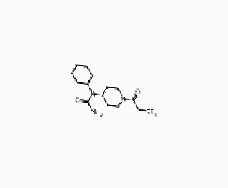 NC(=O)N(C1CCCCC1)C1CCN(C(=O)CC(F)(F)F)CC1